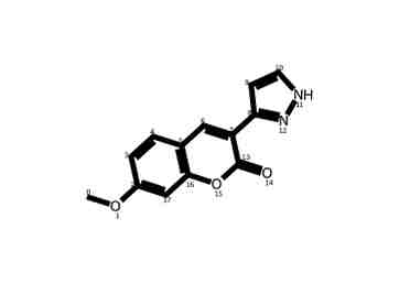 COc1ccc2cc(-c3cc[nH]n3)c(=O)oc2c1